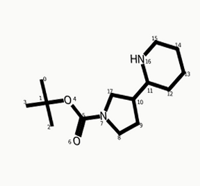 CC(C)(C)OC(=O)N1CCC(C2CCCCN2)C1